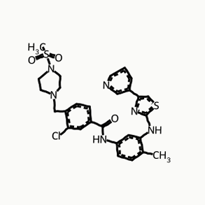 Cc1ccc(NC(=O)c2ccc(CN3CCN(S(C)(=O)=O)CC3)c(Cl)c2)cc1Nc1nc(-c2cccnc2)cs1